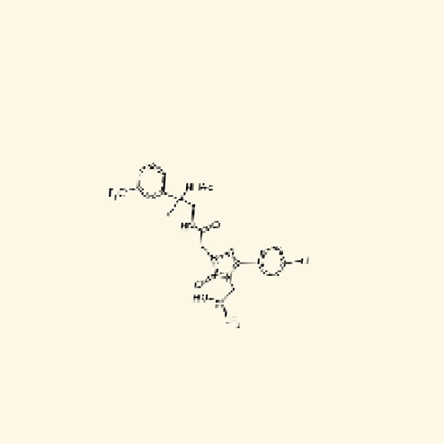 CC(=O)NC(C)(CNC(=O)Cn1nc(-c2ccc(Cl)cc2)n(C[C@H](O)C(F)(F)F)c1=O)c1cccc(C(F)(F)F)c1